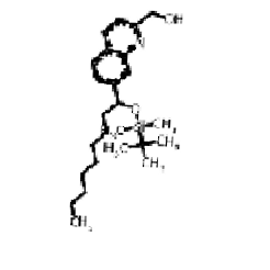 CCCCCCCCC(O[Si](C)(C)C(C)(C)C)c1ccc2ccc(CO)nc2c1